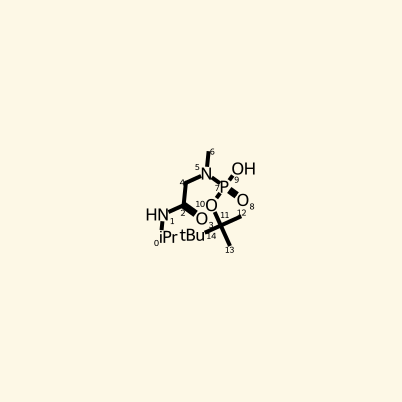 CC(C)NC(=O)CN(C)P(=O)(O)OC(C)(C)C(C)(C)C